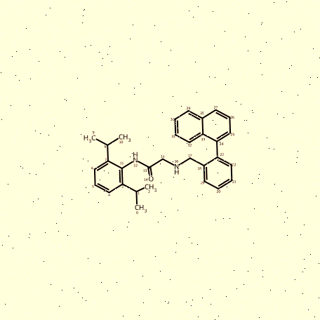 CC(C)c1cccc(C(C)C)c1NC(=O)CNCc1ccccc1-c1cccc2ccccc12